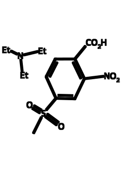 CCN(CC)CC.CS(=O)(=O)c1ccc(C(=O)O)c([N+](=O)[O-])c1